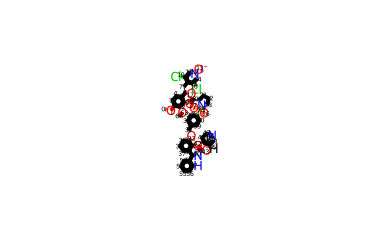 COc1ccc([C@H](Cc2c(Cl)c[n+]([O-])cc2Cl)OC(=O)[C@@H]2CCCN2S(=O)(=O)c2ccc(COc3cccc([C@@H](NC(=O)O[C@H]4CN5CCC4CC5)c4ccccc4)c3)cc2)cc1OC